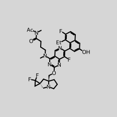 CCc1c(F)ccc2cc(O)cc(-c3ncc4c(N(C)CCCC(=O)N(C)C(C)=O)nc(OC[C@@]56CCCN5C[C@@]5(CC5(F)F)C6)nc4c3F)c12